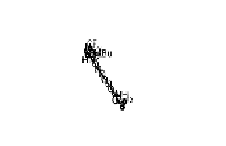 CC(C)(C)OC(=O)NCc1cc(Oc2cccc(C(=O)NCCOCCOCCOCCOCCOCCOCCOCC(N)C(=O)OCC3c4ccccc4-c4ccccc43)c2)nc(C(F)(F)F)c1